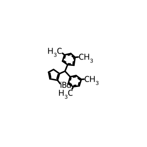 CCC(C)C1=C(C(c2cc(C)cc(C)c2)c2cc(C)cc(C)c2)CC=C1